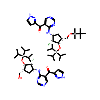 CC(C)[Si](O[C@@H]1[C@@H](CO)C[C@@H](Nc2ncncc2C(=O)c2cc[nH]n2)[C@H]1F)(C(C)C)C(C)C.CC(C)[Si](O[C@@H]1[C@@H](CO[Si](C)(C)C(C)(C)C)C[C@@H](Nc2ncncc2C(=O)c2cc[nH]n2)[C@H]1F)(C(C)C)C(C)C